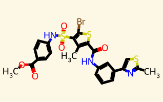 COC(=O)c1ccc(NS(=O)(=O)c2c(Br)sc(C(=O)Nc3cccc(-c4csc(C)n4)c3)c2C)cc1